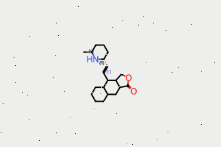 C[C@H]1CCC[C@H](/C=C/C2C3CCCCC3CC3C(=O)OCC32)N1